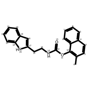 Cc1ccc2ccccc2c1OC(=O)NCCc1cc2ccccc2[nH]1